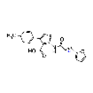 CC1C=CC(c2csc(NC(=O)/C=C/c3ccco3)c2C(=O)O)=CC1